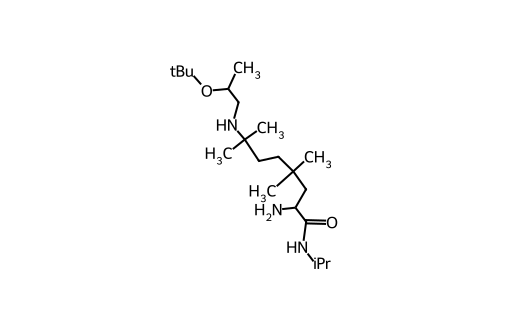 CC(C)NC(=O)C(N)CC(C)(C)CCC(C)(C)NCC(C)OC(C)(C)C